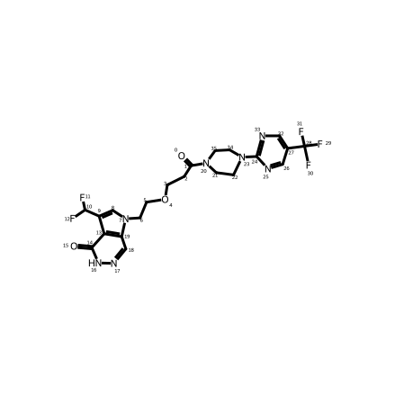 O=C(CCOCCn1cc(C(F)F)c2c(=O)[nH]ncc21)N1CCN(c2ncc(C(F)(F)F)cn2)CC1